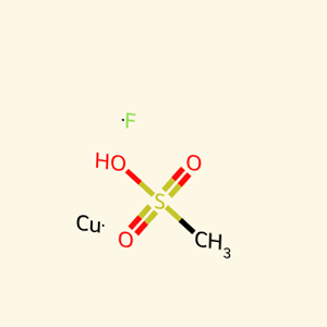 CS(=O)(=O)O.[Cu].[F]